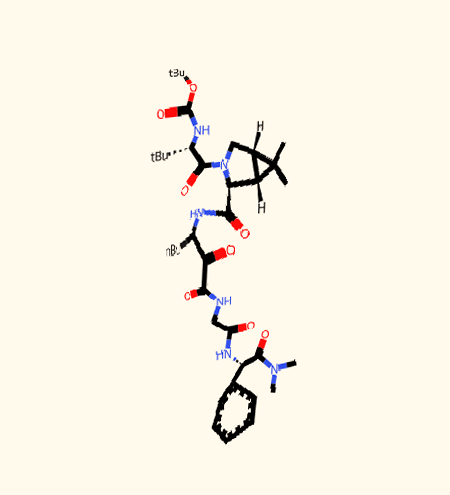 CCCCC(NC(=O)[C@@H]1[C@@H]2[C@H](CN1C(=O)[C@@H](NC(=O)OC(C)(C)C)C(C)(C)C)C2(C)C)C(=O)C(=O)NCC(=O)N[C@H](C(=O)N(C)C)c1ccccc1